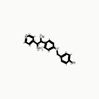 CC(C)c1ccc(COc2ccc(C(C#N)C(N)c3ccncc3)cc2)cc1